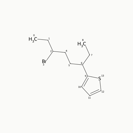 CCC(Br)CCC(CC)c1cccs1